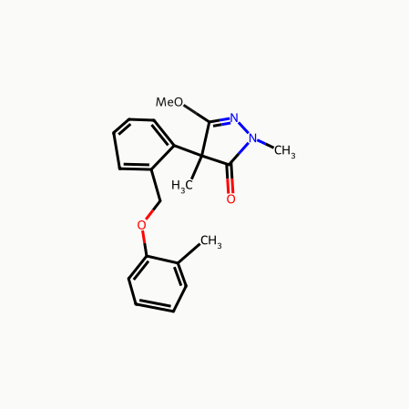 COC1=NN(C)C(=O)C1(C)c1ccccc1COc1ccccc1C